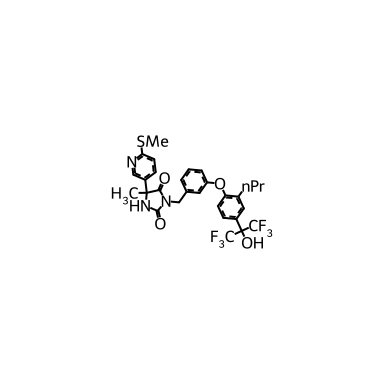 CCCc1cc(C(O)(C(F)(F)F)C(F)(F)F)ccc1Oc1cccc(CN2C(=O)NC(C)(c3ccc(SC)nc3)C2=O)c1